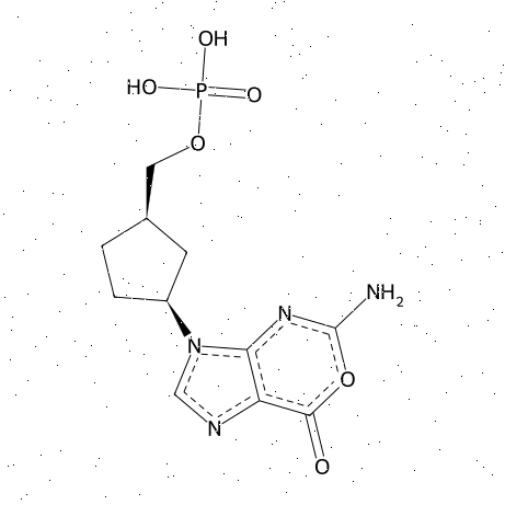 Nc1nc2c(ncn2[C@H]2CC[C@@H](COP(=O)(O)O)C2)c(=O)o1